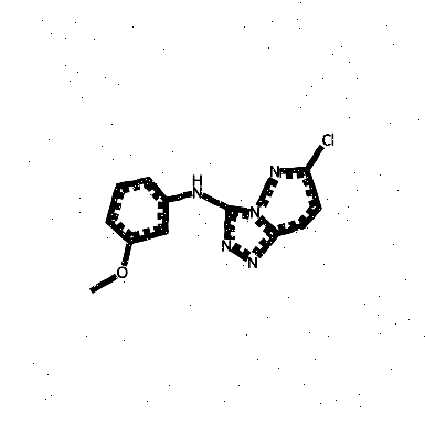 COc1cccc(Nc2nnc3ccc(Cl)nn23)c1